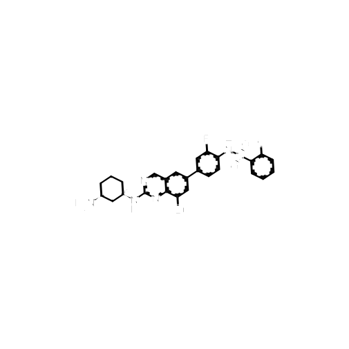 CCc1cc(-c2ccc(NS(=O)(=O)c3ccccc3Cl)c(F)c2)cc2cnc(N[C@@H]3CCC[C@H](N)C3)nc12